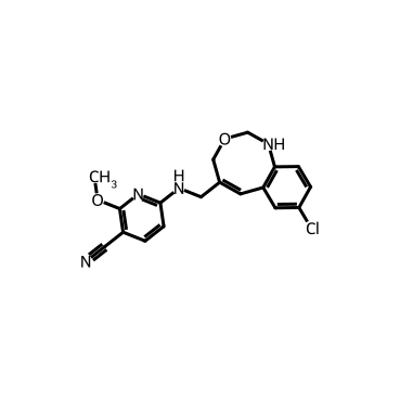 COc1nc(NC/C2=C/c3cc(Cl)ccc3NCOC2)ccc1C#N